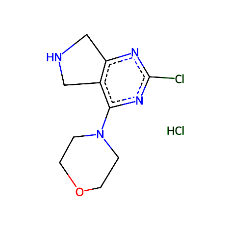 Cl.Clc1nc2c(c(N3CCOCC3)n1)CNC2